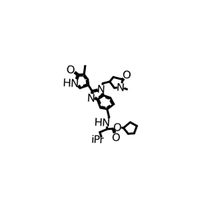 Cc1cc(-c2nc3cc(CNC(CC(C)C)C(=O)OC4CCCC4)ccc3n2CC2CC(=O)N(C)C2)c[nH]c1=O